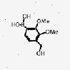 COc1c(CO)ccc(B(O)O)c1OC